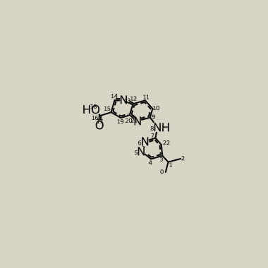 CC(C)c1cnnc(Nc2ccc3ncc(C(=O)O)cc3n2)c1